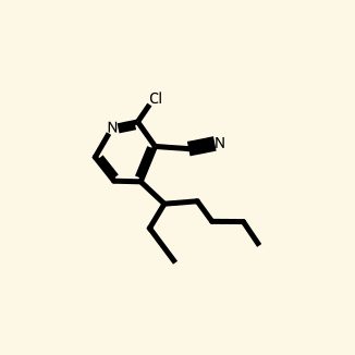 CCCCC(CC)c1ccnc(Cl)c1C#N